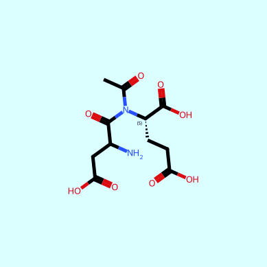 CC(=O)N(C(=O)C(N)CC(=O)O)[C@@H](CCC(=O)O)C(=O)O